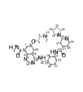 CN(C)CCOc1cc(C(N)=O)c2ncnc(NCc3cccc(NC(=O)c4ccnc(N5CCCC5)c4)c3)c2c1